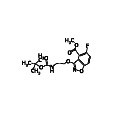 COC(=O)c1c(F)ccc2onc(OCCNC(=O)OC(C)(C)C)c12